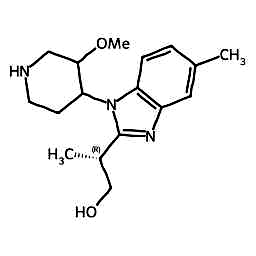 COC1CNCCC1n1c([C@@H](C)CO)nc2cc(C)ccc21